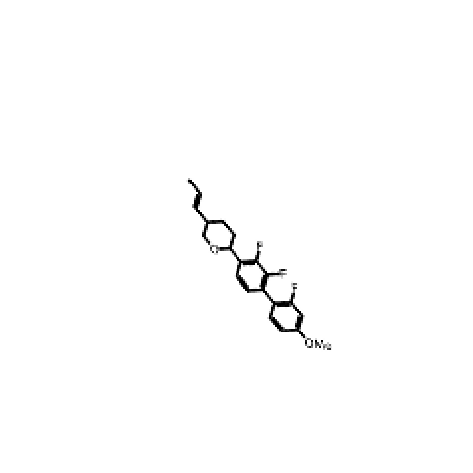 C/C=C/C1CCC(c2ccc(-c3ccc(OC)cc3F)c(F)c2F)OC1